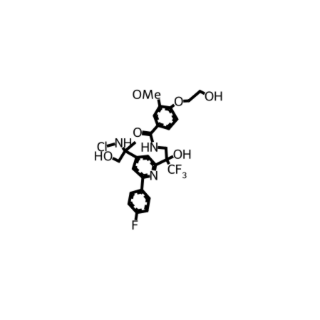 COc1cc(C(=O)NCC(O)(c2cc(C(C)(CO)NCl)cc(-c3ccc(F)cc3)n2)C(F)(F)F)ccc1OCCO